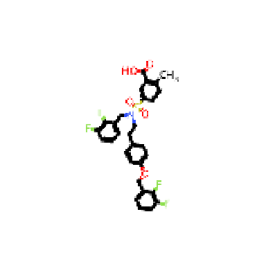 Cc1ccc(S(=O)(=O)N(CCc2ccc(OCc3cccc(F)c3F)cc2)Cc2cccc(F)c2F)cc1C(=O)O